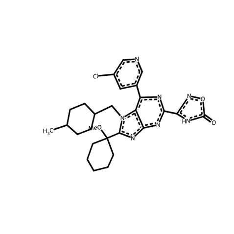 COC1(c2nc3nc(-c4noc(=O)[nH]4)nc(-c4cncc(Cl)c4)c3n2CC2CCC(C)CC2)CCCCC1